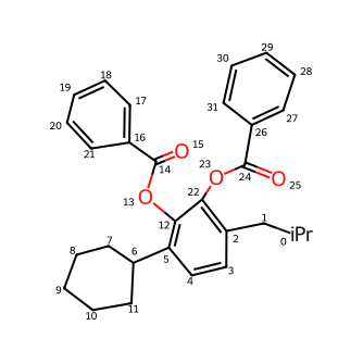 CC(C)Cc1ccc(C2CCCCC2)c(OC(=O)c2ccccc2)c1OC(=O)c1ccccc1